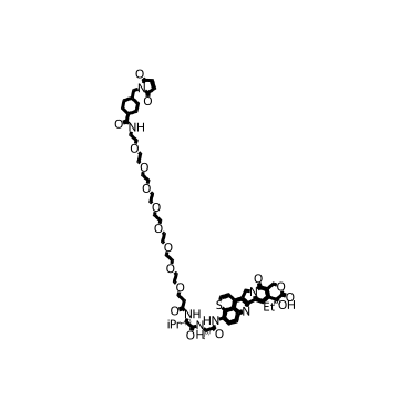 CC[C@@]1(O)C(=O)OCc2c1cc1n(c2=O)Cc2c-1nc1ccc(NC(=O)[C@H](C)NC(=O)[C@@H](NC(=O)CCOCCOCCOCCOCCOCCOCCOCCOCCNC(=O)C3CCC(CN4C(=O)C=CC4=O)CC3)C(C)C)c3c1c2C=CS3